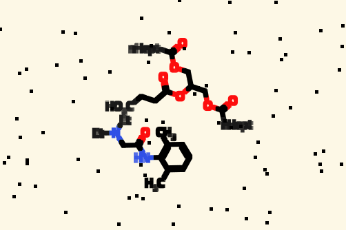 CCCCCCCC(=O)OCC(COC(=O)CCCCCCC)OC(=O)CCC(=O)O.CCN(CC)CC(=O)Nc1c(C)cccc1C